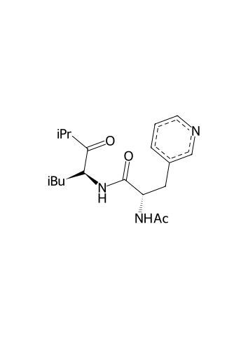 CC[C@H](C)[C@H](NC(=O)[C@H](Cc1cccnc1)NC(C)=O)C(=O)C(C)C